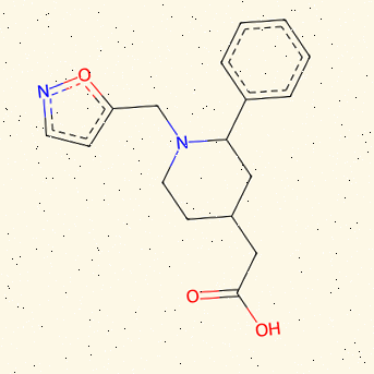 O=C(O)CC1CCN(Cc2ccno2)C(c2ccccc2)C1